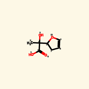 CC(O)(C(=O)O)C1CC=CO1